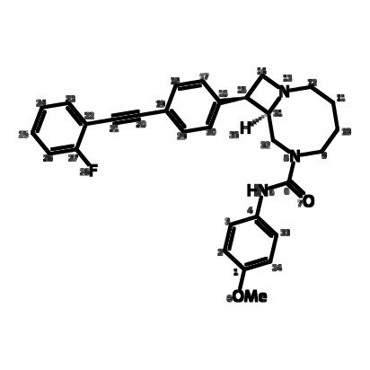 COc1ccc(NC(=O)N2CCCCN3C[C@H](c4ccc(C#Cc5ccccc5F)cc4)[C@@H]3C2)cc1